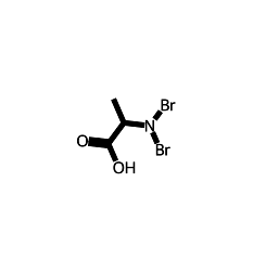 CC(C(=O)O)N(Br)Br